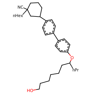 CCCCCCC1(C#N)CCCC(c2ccc(-c3ccc(OC(CCC)CCCCCCO)cc3)cc2)C1